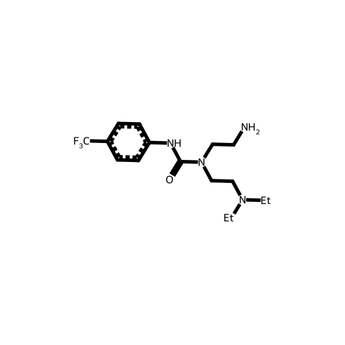 CCN(CC)CCN(CCN)C(=O)Nc1ccc(C(F)(F)F)cc1